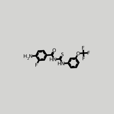 Nc1ccc(C(=O)NC(=S)Nc2cccc(OC(F)(F)F)c2)cc1F